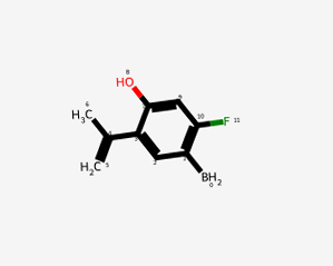 Bc1cc(C(=C)C)c(O)cc1F